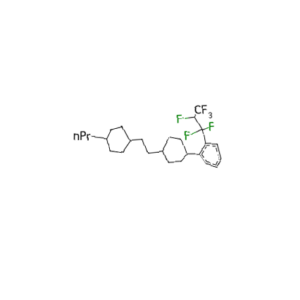 CCCC1CCC(CCC2CCC(c3ccccc3C(F)(F)C(F)C(F)(F)F)CC2)CC1